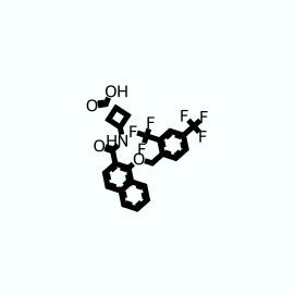 O=C(NC1CCC1)c1ccc2ccccc2c1OCc1ccc(C(F)(F)F)cc1C(F)(F)F.O=CO